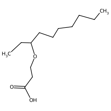 CCCCCCCC(CC)OCCC(=O)O